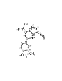 Cc1ccc(-c2cc(C(F)F)n3ncc(C#N)c3n2)cc1C